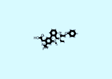 CCN(Cc1ccccc1-c1cc(CC(=O)O)c(C(F)(F)F)cc1OC)C(=O)COc1ccccc1